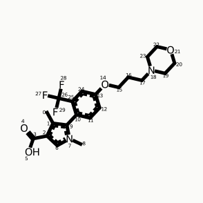 Cc1c(C(=O)O)cn(C)c1-c1ccc(OCCCN2CCOCC2)cc1C(F)(F)F